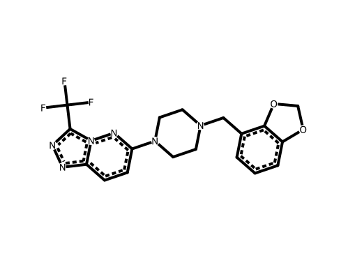 FC(F)(F)c1nnc2ccc(N3CCN(Cc4cccc5c4OCO5)CC3)nn12